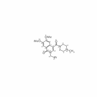 COc1cc2c(C(=O)N3CCN(C)CC3)cn(CC(C)C)c(=O)c2cc1OC